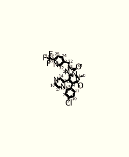 Cn1c(=O)c(-c2ccc(Cl)cc2)c(-c2cnccn2)c2nn(Cc3ccc(C(F)(F)F)nc3)c(=O)n21